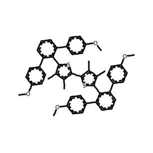 COc1ccc(-c2cccc(-c3ccc(OC)cc3)c2-c2sc(-c3sc(-c4c(-c5ccc(OC)cc5)cccc4-c4ccc(OC)cc4)c(C)c3C)c(C)c2C)cc1